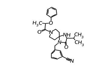 CC(Oc1ccccc1)C(=O)N1CCC2(CC1)NC(C(C)C)C(=O)N2Cc1cccc(C#N)c1